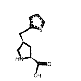 O=C(O)[C@@H]1C[C@H](Cc2cccs2)CN1